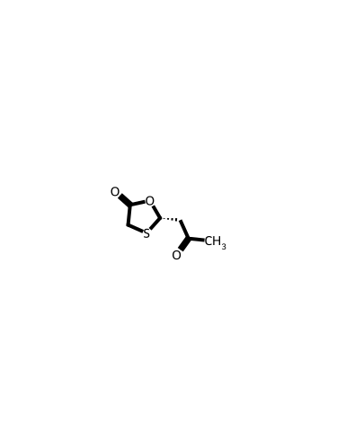 CC(=O)C[C@H]1OC(=O)CS1